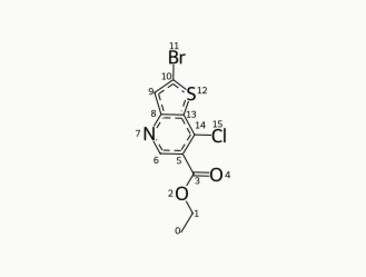 CCOC(=O)c1cnc2cc(Br)sc2c1Cl